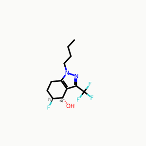 CCCCn1nc(C(F)(F)F)c2c1CC[C@H](F)[C@H]2O